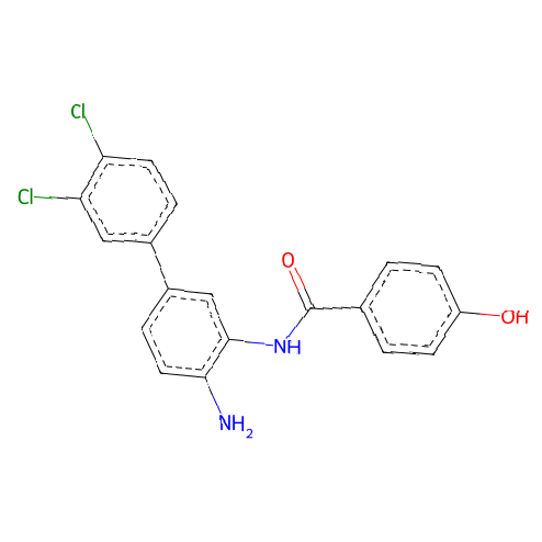 Nc1ccc(-c2ccc(Cl)c(Cl)c2)cc1NC(=O)c1ccc(O)cc1